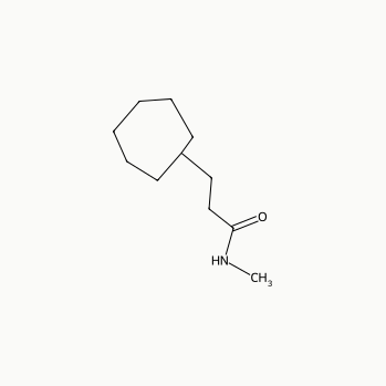 CNC(=O)CCC1CCCCCC1